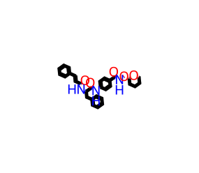 O=C(C=Cc1ccccc1)NC(Cc1ccccc1)C(=O)Nc1ccc(C(=O)NOC2CCCCO2)cc1